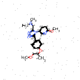 COC[C@H](C)Oc1ccc(-c2nnc(CN(C)C)n2-c2ccc(OC)nc2)cc1